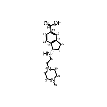 CN1CCN(CCN[C@H]2CCc3cc(C(=O)O)ccc32)CC1